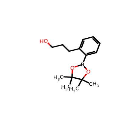 CC1(C)OB(c2ccccc2CCCO)OC1(C)C